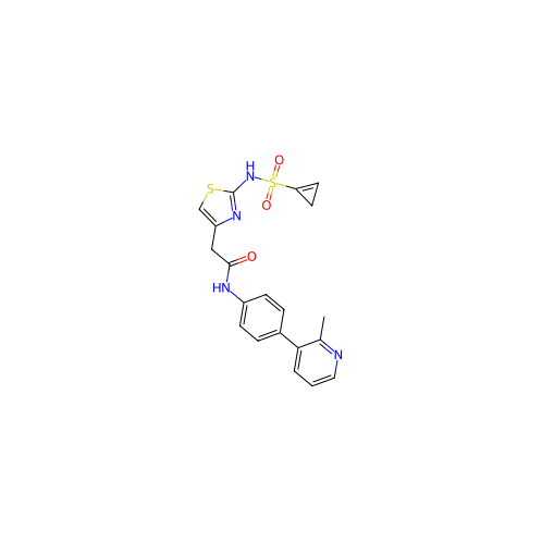 Cc1ncccc1-c1ccc(NC(=O)Cc2csc(NS(=O)(=O)C3=CC3)n2)cc1